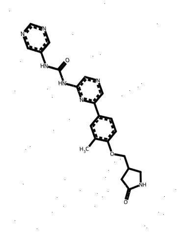 Cc1cc(-c2cncc(NC(=O)Nc3cncnc3)n2)ccc1OCC1CNC(=O)C1